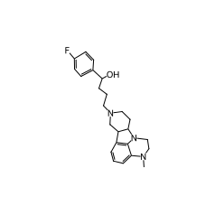 CN1CCN2c3c(cccc31)C1CN(CCCC(O)c3ccc(F)cc3)CCC12